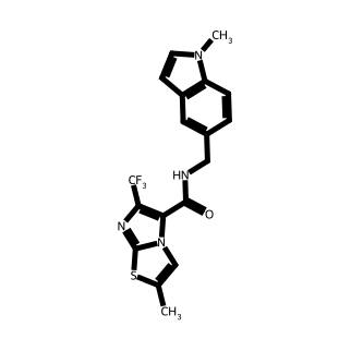 Cc1cn2c(C(=O)NCc3ccc4c(ccn4C)c3)c(C(F)(F)F)nc2s1